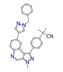 Cn1nc(-c2ccc(C(C)(C)C#N)cc2)c2c3cc(-c4cnn(Cc5ccccc5)c4)ccc3ncc21